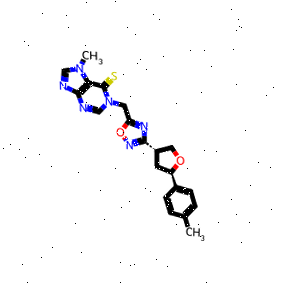 Cc1ccc([C@H]2C[C@H](c3noc(Cn4cnc5ncn(C)c5c4=S)n3)CO2)cc1